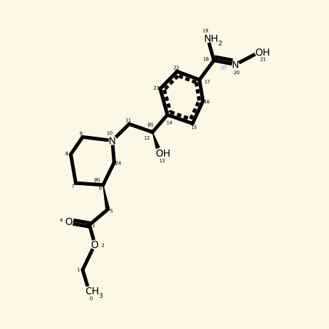 CCOC(=O)C[C@H]1CCCN(C[C@H](O)c2ccc(/C(N)=N/O)cc2)C1